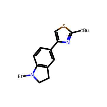 CCN1CCc2cc(-c3csc(C(C)(C)C)n3)ccc21